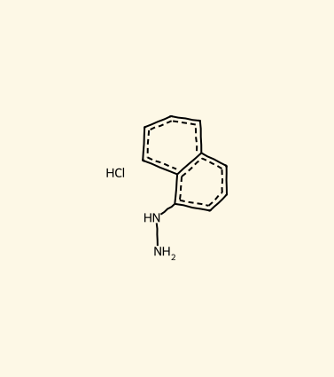 Cl.NNc1cccc2ccccc12